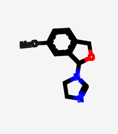 COc1ccc2c(c1)C(N1C=NCC1)OC2